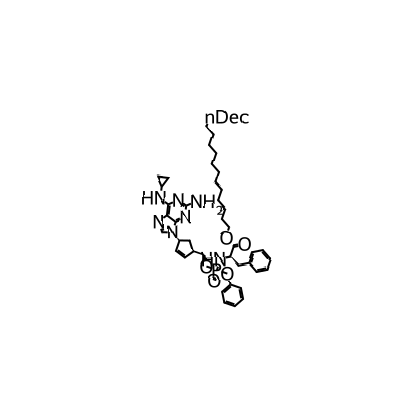 CCCCCCCCCCCCCCCCCCCCCCOC(=O)[C@@H](Cc1ccccc1)NP(=O)(OCC1C=CC(n2cnc3c(NC4CC4)nc(N)nc32)C1)Oc1ccccc1